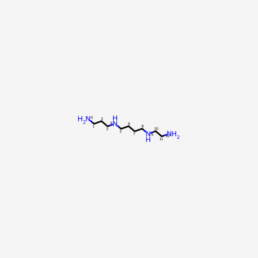 NCCCNCCCCNCCN